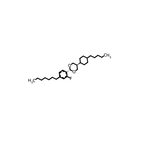 CCCCCCCc1ccc([C@H]2OC[C@H](C3CCC(CCCCC)CC3)CO2)c(F)c1